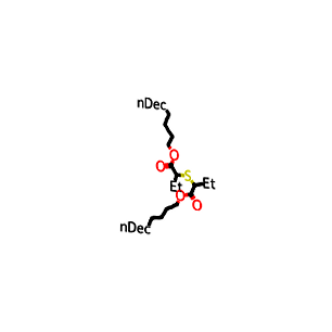 CCCCCCCCCCCCCCOC(=O)C(CC)SC(CC)C(=O)OCCCCCCCCCCCCCC